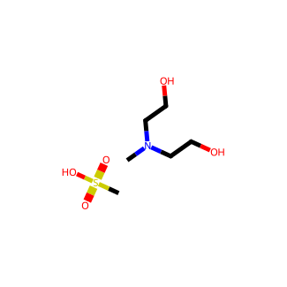 CN(CCO)CCO.CS(=O)(=O)O